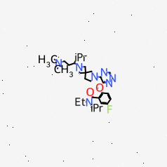 CCN(C(=O)c1cc(F)ccc1Oc1nncnc1N1CCC2(C1)CN(C(CCN(C)C)C(C)C)C2)C(C)C